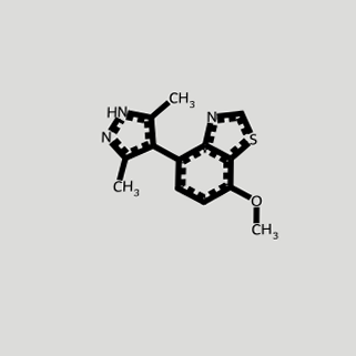 COc1ccc(-c2c(C)n[nH]c2C)c2ncsc12